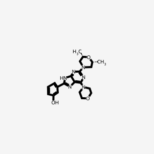 C[C@@H]1CN(c2nc(N3CCOCC3)c3nc(-c4cccc(O)c4)[nH]c3n2)C[C@H](C)O1